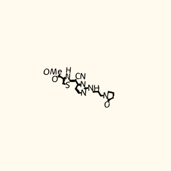 COC(=O)C1=CSC(=C(C#N)c2ccnc(NCCCN3CCCC3=O)n2)N1